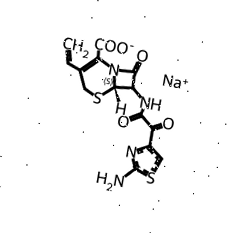 C=CC1=C(C(=O)[O-])N2C(=O)C(NC(=O)C(=O)c3csc(N)n3)[C@@H]2SC1.[Na+]